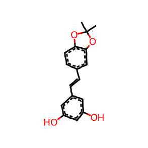 CC1(C)Oc2ccc(/C=C/c3cc(O)cc(O)c3)cc2O1